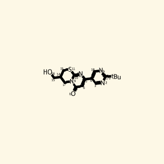 CC(C)(C)c1ncc(-c2cc(=O)n3c(n2)SCC(CO)C3)cn1